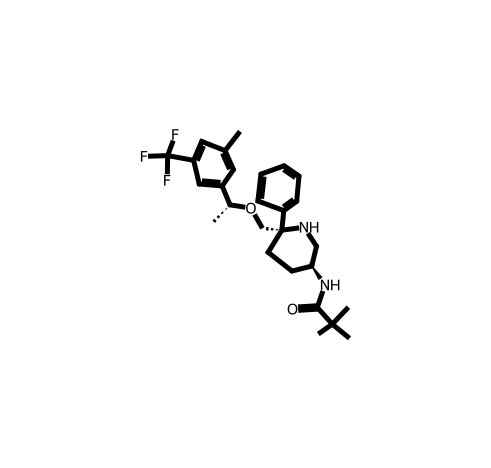 Cc1cc([C@@H](C)OC[C@@]2(c3ccccc3)CC[C@H](NC(=O)C(C)(C)C)CN2)cc(C(F)(F)F)c1